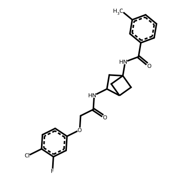 Cc1cccc(C(=O)NC23CC(C2)C(NC(=O)COc2ccc(Cl)c(F)c2)C3)c1